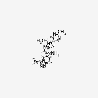 CCn1c(-c2cnc(C)nc2)nc2c1N=CN(C1CCc3nnc(C4CC4)n3C1)C2N